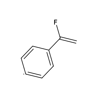 C=C(F)c1cc[c]cc1